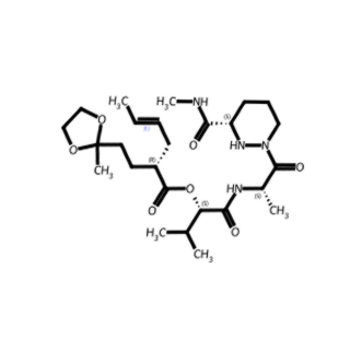 C/C=C/C[C@@H](CCC1(C)OCCO1)C(=O)O[C@H](C(=O)N[C@@H](C)C(=O)N1CCC[C@@H](C(=O)NC)N1)C(C)C